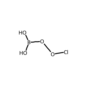 OB(O)OOCl